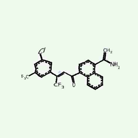 C=C(N)c1ccc(C(=O)/C=C(/c2cc(Cl)cc(C(F)(F)F)c2)C(F)(F)F)c2ccccc12